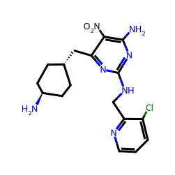 Nc1nc(NCc2ncccc2Cl)nc(C[C@H]2CC[C@H](N)CC2)c1[N+](=O)[O-]